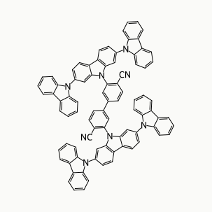 N#Cc1ccc(-c2ccc(C#N)c(-n3c4cc(-n5c6ccccc6c6ccccc65)ccc4c4ccc(-n5c6ccccc6c6ccccc65)cc43)c2)cc1-n1c2cc(-n3c4ccccc4c4ccccc43)ccc2c2ccc(-n3c4ccccc4c4ccccc43)cc21